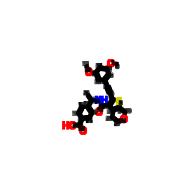 COc1cc(C#Cc2sc3c(c2C(=O)NC(C)c2ccc(C(=O)O)cc2)CCOC3)cc(OC)c1